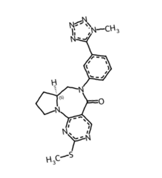 CSc1ncc2c(n1)N1CCC[C@H]1CN(c1cccc(-c3nnnn3C)c1)C2=O